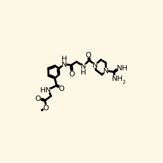 COC(=O)CNC(=O)c1cccc(NC(=O)CNC(=O)N2CCN(C(=N)N)CC2)c1